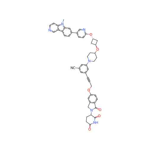 Cn1c2ccncc2c2ccc(-c3ccc(O[C@H]4C[C@H](OC5CCN(c6cc(C#N)cc(C#CCOc7ccc8c(c7)CN(C7CCC(=O)NC7=O)C8=O)c6)CC5)C4)nc3)cc21